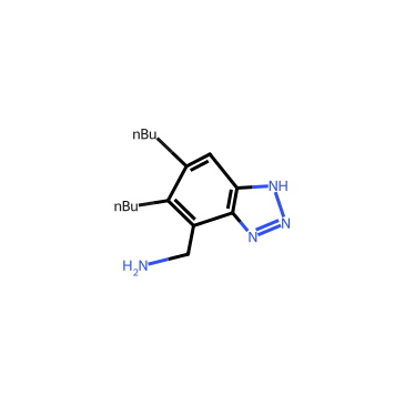 CCCCc1cc2[nH]nnc2c(CN)c1CCCC